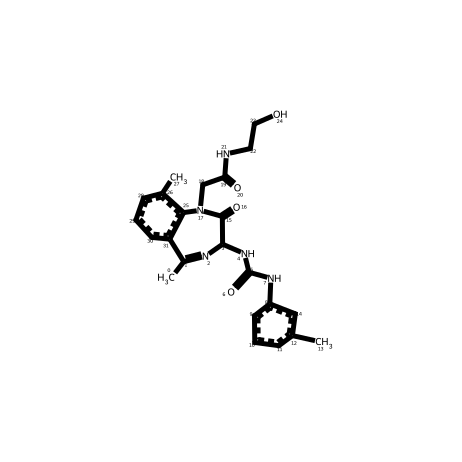 CC1=NC(NC(=O)Nc2cccc(C)c2)C(=O)N(CC(=O)NCCO)c2c(C)cccc21